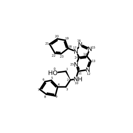 OC[C@H](Cc1ccccc1)Nc1ncc2nnn(-c3ccccc3)c2n1